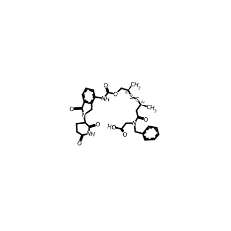 C[C@H](COC(=O)Nc1cccc2c1CN(C1CCC(=O)NC1=O)C2=O)SS[C@@H](C)CC(=O)N(CC(=O)O)Cc1ccccc1